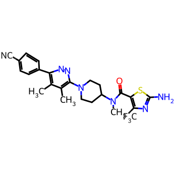 Cc1c(-c2ccc(C#N)cc2)nnc(N2CCC(N(C)C(=O)c3sc(N)nc3C(F)(F)F)CC2)c1C